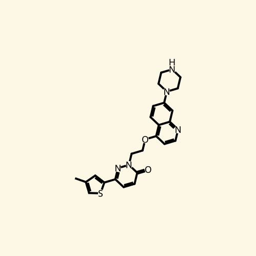 Cc1csc(-c2ccc(=O)n(CCOc3ccnc4cc(N5CCNCC5)ccc34)n2)c1